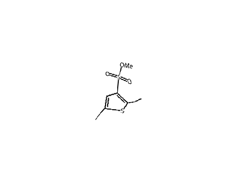 COS(=O)(=O)c1cc(C)sc1C